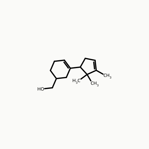 CC1=CCC(C2=CCCC(CO)C2)C1(C)C